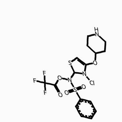 O=C(ON(C1SC=C(OC2CCNCC2)N1Cl)S(=O)(=O)c1ccccc1)C(F)(F)F